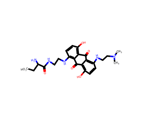 CN(C)CCNc1ccc(O)c2c1C(=O)c1c(O)ccc(NCCNC(=O)C(N)CC(=O)O)c1C2=O